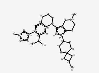 CC(=O)N1CCc2c(c(N3CCCc4cc(-c5cnn(C)c5)c(C(F)F)cc43)nn2C2CCC3(CC2)CC(O)C3)C1